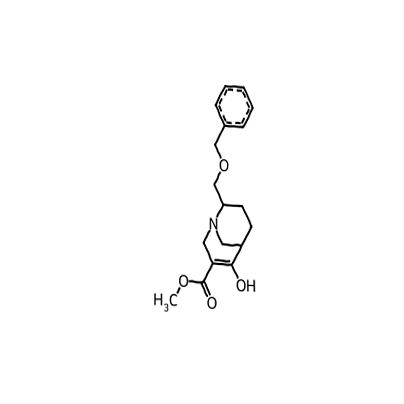 COC(=O)C1=C(O)C2CCC(COCc3ccccc3)N(C1)C2